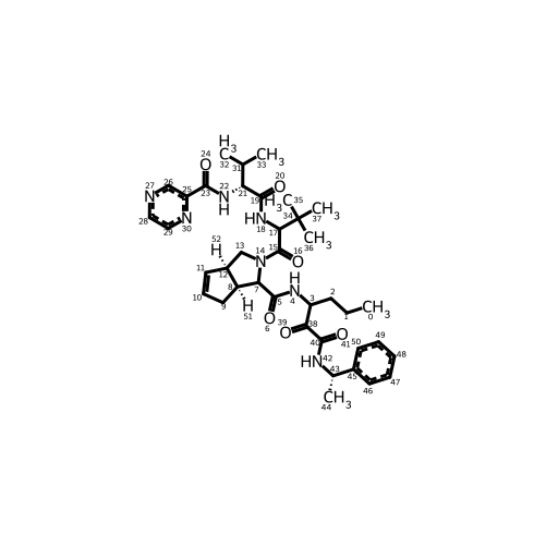 CCCC(NC(=O)C1[C@H]2CC=C[C@H]2CN1C(=O)C(NC(=O)[C@H](NC(=O)c1cnccn1)C(C)C)C(C)(C)C)C(=O)C(=O)N[C@@H](C)c1ccccc1